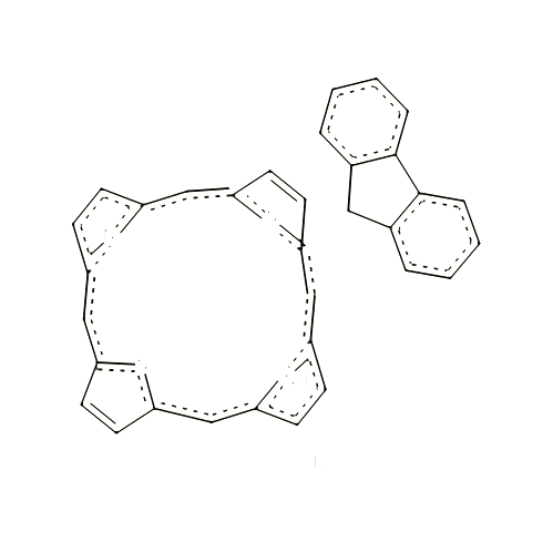 C1=Cc2cc3ccc(cc4nc(cc5ccc(cc1n2)[nH]5)C=C4)[nH]3.[SiH4].c1ccc2c(c1)Cc1ccccc1-2